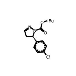 CC(C)(C)OC(=O)N1N=CC[C@@H]1c1ccc(Cl)cc1